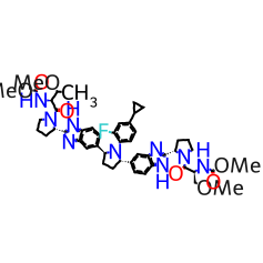 COC[C@H](NC(=O)OC)C(=O)N1CCC[C@H]1c1nc2cc([C@@H]3CC[C@@H](c4ccc5[nH]c([C@@H]6CCCN6C(=O)[C@@H](NC(=O)OC)[C@@H](C)OC)nc5c4)N3c3ccc(C4CC4)cc3F)ccc2[nH]1